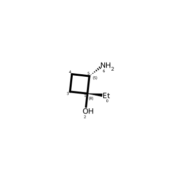 CC[C@@]1(O)CC[C@@H]1N